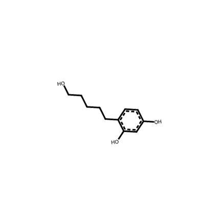 OCCCCCc1ccc(O)cc1O